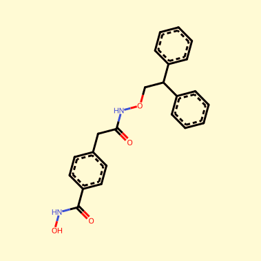 O=C(Cc1ccc(C(=O)NO)cc1)NOCC(c1ccccc1)c1ccccc1